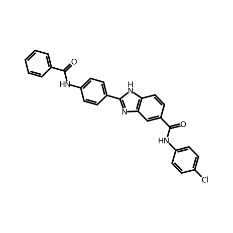 O=C(Nc1ccc(-c2nc3cc(C(=O)Nc4ccc(Cl)cc4)ccc3[nH]2)cc1)c1ccccc1